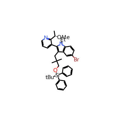 CCn1c(-c2cccnc2[C@H](C)OC)c(CC(C)(C)CO[Si](c2ccccc2)(c2ccccc2)C(C)(C)C)c2cc(Br)ccc21